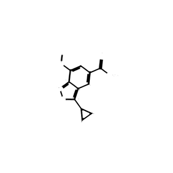 CCOc1cc(C(=O)OC)cc2c(C3CC3)onc12